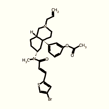 C=CCN1CC[C@@]2(c3cccc(OC(C)=O)c3)C[C@H](N(C)C(=O)/C=C/c3cc(Br)cs3)CC[C@@H]2C1